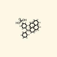 O=P(O)(O)c1ccc(N(c2ccccc2)c2ccc3ccc4cccc5ccc2c3c45)cc1